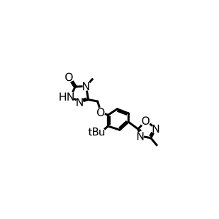 Cc1noc(-c2ccc(OCc3n[nH]c(=O)n3C)c(C(C)(C)C)c2)n1